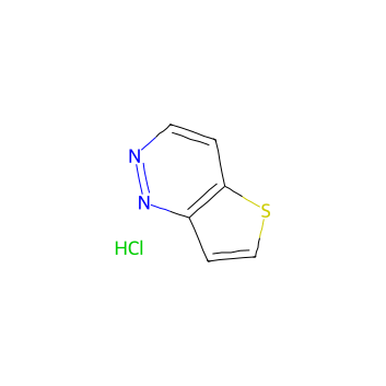 Cl.c1cc2sccc2nn1